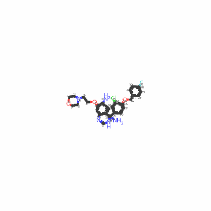 Nc1cc2c(cc1OCCN1CCOCC1)N=CNC2(N)c1ccc(OCc2ccc(F)cc2)c(Cl)c1